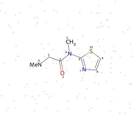 CNCC(=O)N(C)c1nccs1